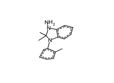 Cc1ccccc1N1c2ccccc2N(N)C1(C)C